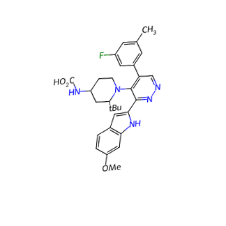 COc1ccc2cc(-c3nncc(-c4cc(C)cc(F)c4)c3N3CCC(NC(=O)O)CC3C(C)(C)C)[nH]c2c1